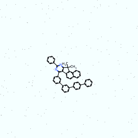 CC1(C)c2nc(-c3ccccc3)nc(-c3cccc(-c4cccc(-c5ccc(-c6ccccc6)cc5)c4)c3)c2-c2ccc3ccccc3c21